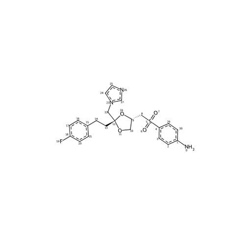 Nc1ccc(S(=O)(=O)C[C@@H]2CO[C@](CCc3ccc(F)cc3)(Cn3ccnc3)O2)cc1